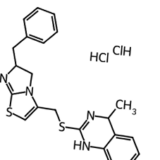 CC1N=C(SCC2=CSC3=NC(Cc4ccccc4)CN23)Nc2ccccc21.Cl.Cl